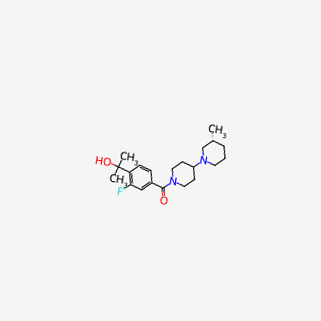 C[C@@H]1CCCN(C2CCN(C(=O)c3ccc(C(C)(C)O)c(F)c3)CC2)C1